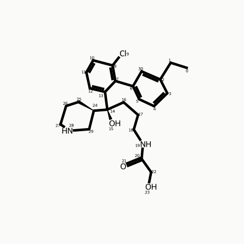 CCc1cccc(-c2c(Cl)cccc2[C@](O)(CCCNC(=O)CO)[C@@H]2CCCNC2)c1